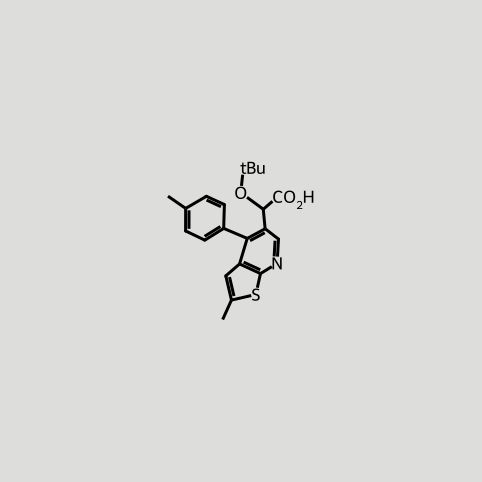 Cc1ccc(-c2c(C(OC(C)(C)C)C(=O)O)cnc3sc(C)cc23)cc1